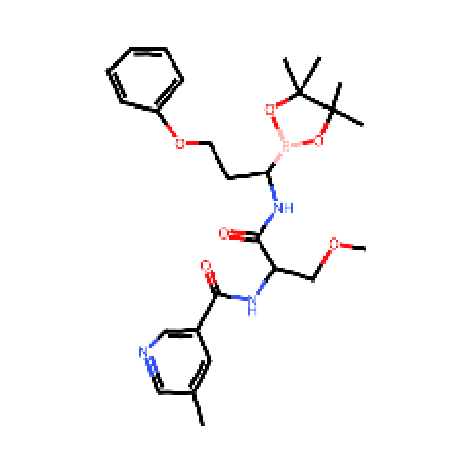 COCC(NC(=O)c1cncc(C)c1)C(=O)NC(CCOc1ccccc1)B1OC(C)(C)C(C)(C)O1